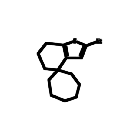 CCc1cc2c(s1)CCCC21CCCCCC1